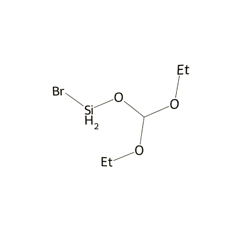 CCOC(OCC)O[SiH2]Br